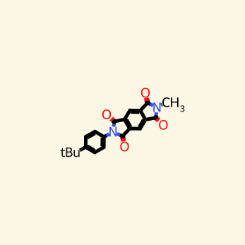 Cn1c(=O)c2cc3c(=O)n(-c4ccc(C(C)(C)C)cc4)c(=O)c3cc2c1=O